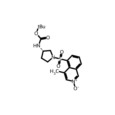 Cc1c[n+]([O-])cc2cccc(S(=O)(=O)N3CC[C@H](NC(=O)OC(C)(C)C)C3)c12